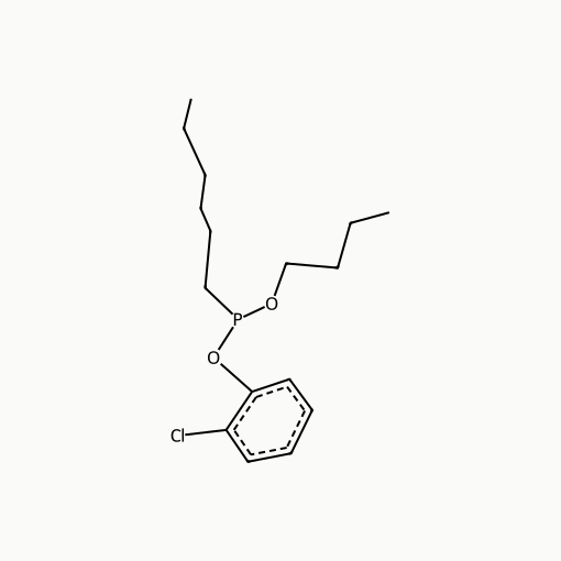 CCCCCCP(OCCCC)Oc1ccccc1Cl